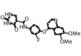 COc1cc2nccc(Oc3ccc(NC(=O)c4c[nH]c(=O)[nH]c4=O)cc3F)c2cc1OC